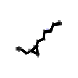 CC[C@H]1O[C@@H]1CC/C=C/C=O